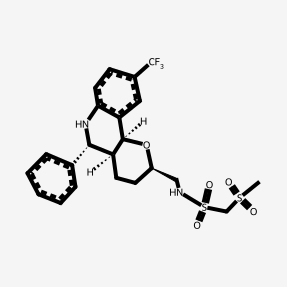 CS(=O)(=O)CS(=O)(=O)NC[C@H]1CC[C@@H]2[C@H](O1)c1cc(C(F)(F)F)ccc1N[C@H]2c1ccccc1